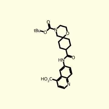 CC(C)(C)OC(=O)N1CCOC2(CCC(C(=O)Nc3ccc4nccc(C(=O)O)c4c3)CC2)C1